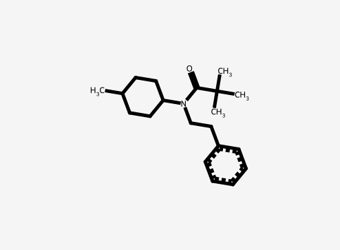 CC1CCC(N(CCc2ccccc2)C(=O)C(C)(C)C)CC1